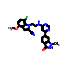 COc1ccc(F)c2c1cc(C#N)n2CCNc1cc(-c2ccc3c(=O)[nH]n(C)c3c2)ncn1